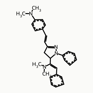 CN(C)C(=Cc1ccccc1)C1CC(C=Cc2ccc(N(C)C)cc2)=NN1c1ccccc1